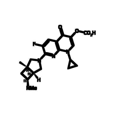 CN[C@H]1C[C@@]2(C)CN(c3nc4c(cc3F)c(=O)c(OC(=O)O)cn4C3CC3)C[C@@H]12